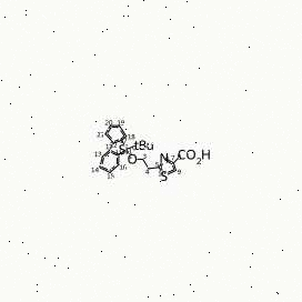 CC(C)(C)[Si](OCCc1nc(C(=O)O)cs1)(c1ccccc1)c1ccccc1